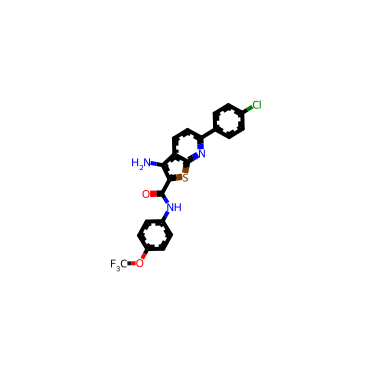 Nc1c(C(=O)Nc2ccc(OC(F)(F)F)cc2)sc2nc(-c3ccc(Cl)cc3)ccc12